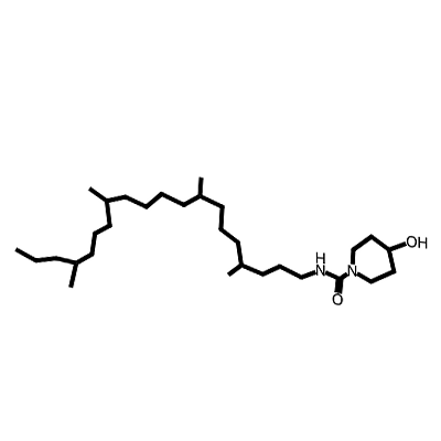 CCCC(C)CCCC(C)CCCCC(C)CCCC(C)CCCNC(=O)N1CCC(O)CC1